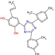 CC=Cc1cc(-c2nc(-c3ccc(C)cc3C)nc(-c3ccc(C)cc3C)n2)c(O)cc1O